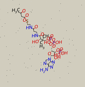 CCC(=O)CC(=O)OSCCNC(=O)CCNC(=O)C(O)C(C)(C)COP(=O)(O)OP(=O)(O)OC[C@H]1O[C@@H](n2cnc3c(N)ncnc32)[C@H](O)[C@@H]1OP(=O)(O)O